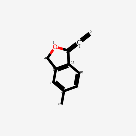 C=C=C1OCc2cc(C)ccc21